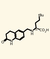 CC(C)(C)CC[C@H](NCc1ccc2c(c1)CCC(=O)N2)C(=O)O